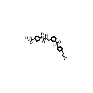 CN(C)CCc1ccc(NC(=O)c2cccc(CNC(=O)Nc3ccc(C(N)=O)cc3)c2)cc1